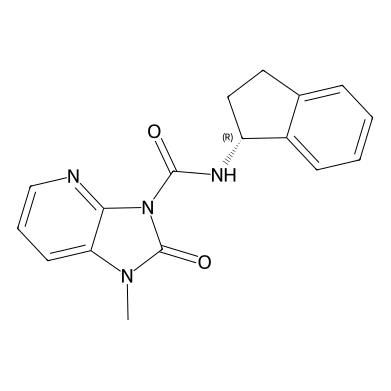 Cn1c(=O)n(C(=O)N[C@@H]2CCc3ccccc32)c2ncccc21